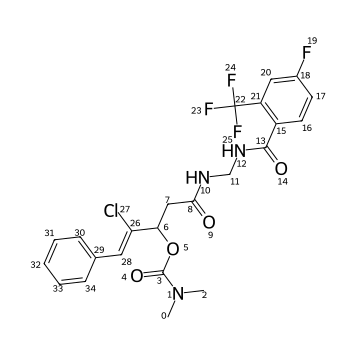 CN(C)C(=O)OC(CC(=O)NCNC(=O)c1ccc(F)cc1C(F)(F)F)C(Cl)=Cc1ccccc1